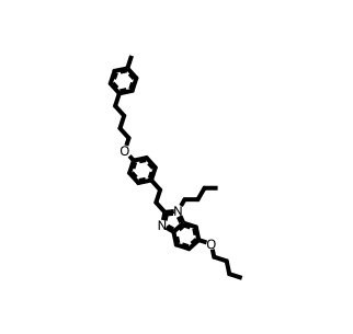 CCCCOc1ccc2nc(CCc3ccc(OCCCCc4ccc(C)cc4)cc3)n(CCCC)c2c1